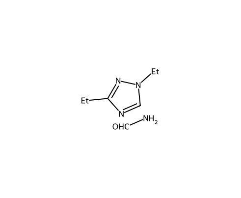 CCc1ncn(CC)n1.NC=O